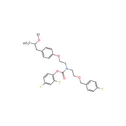 CCOC(Cc1ccc(OCCN(CCOCc2ccc(F)cc2)C(=O)Oc2ccc(F)cc2F)cc1)C(=O)O